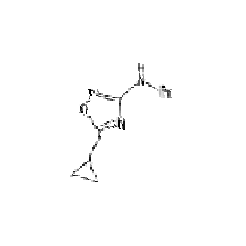 CC(C)Nc1noc(C2CC2)n1